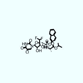 CC(C)OC(=O)[C@H](C)NP(=O)(OC[C@@]1(C(F)F)O[C@@H](n2cc(Cl)c(=O)[nH]c2=O)[C@H](O)[C@H]1O)Oc1ccc2ccccc2c1